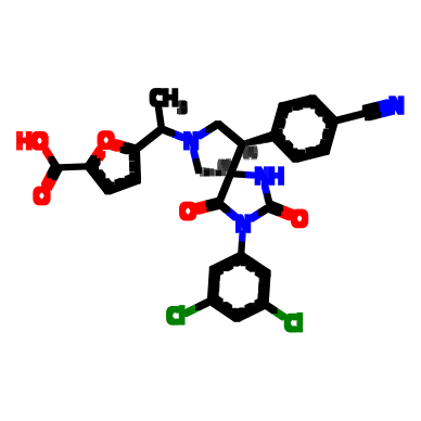 CC(c1ccc(C(=O)O)o1)N1C[C@@H](c2ccc(C#N)cc2)[C@@]2(C1)NC(=O)N(c1cc(Cl)cc(Cl)c1)C2=O